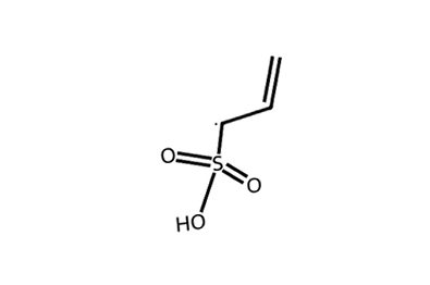 C=C[CH]S(=O)(=O)O